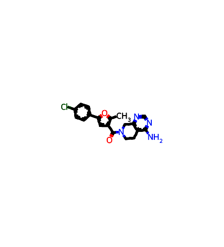 Cc1oc(-c2ccc(Cl)cc2)cc1C(=O)N1CCc2c(N)ncnc2C1